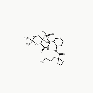 CCCCC1(C(=O)NC2CCCCC2C(CC(=O)O)NC(=O)C2OC(C)(C)OCC2(C)C)CCC1